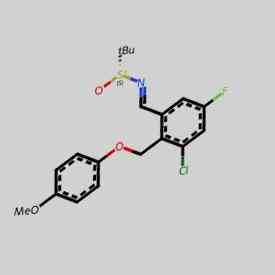 COc1ccc(OCc2c(Cl)cc(F)cc2C=N[S@+]([O-])C(C)(C)C)cc1